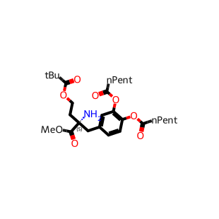 CCCCCC(=O)Oc1ccc(C[C@](N)(CCOC(=O)C(C)(C)C)C(=O)OC)cc1OC(=O)CCCCC